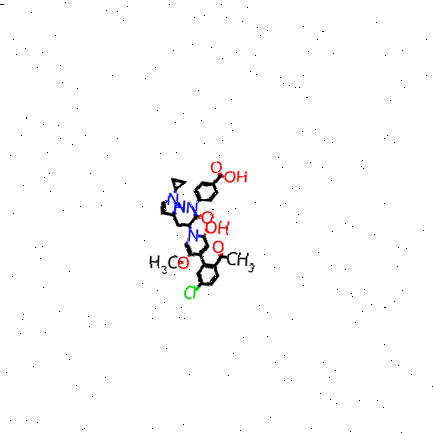 COC1=CN(C(Cc2ccn(C3CC3)n2)C(=O)Nc2ccc(C(=O)O)cc2)C(O)C=C1c1cc(Cl)ccc1C(C)=O